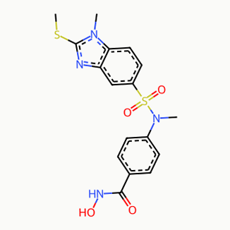 CSc1nc2cc(S(=O)(=O)N(C)c3ccc(C(=O)NO)cc3)ccc2n1C